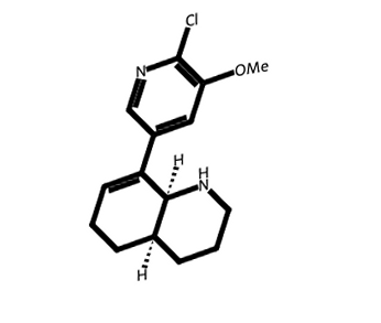 COc1cc(C2=CCC[C@@H]3CCCN[C@H]23)cnc1Cl